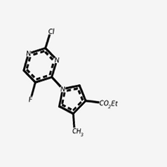 CCOC(=O)c1cn(-c2nc(Cl)ncc2F)cc1C